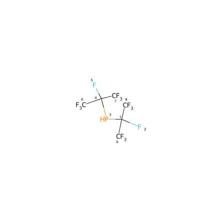 FC(F)(F)C(F)(PC(F)(C(F)(F)F)C(F)(F)F)C(F)(F)F